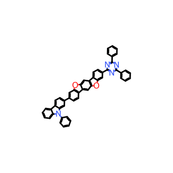 c1ccc(-c2nc(-c3ccccc3)nc(-c3ccc4c(c3)oc3cc5c(cc34)oc3cc(-c4ccc6c7ccccc7n(-c7ccccc7)c6c4)ccc35)n2)cc1